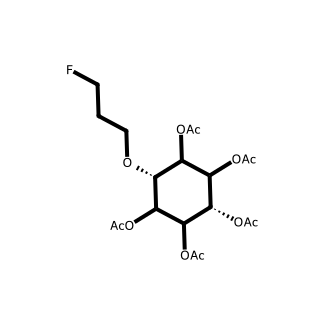 CC(=O)OC1C(OC(C)=O)[C@H](OC(C)=O)C(OC(C)=O)C(OC(C)=O)[C@@H]1OCCCF